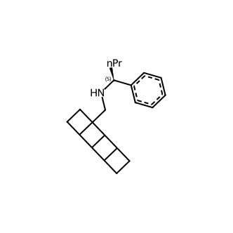 CCC[C@H](NCC12CCC1C1C3CCC3C12)c1ccccc1